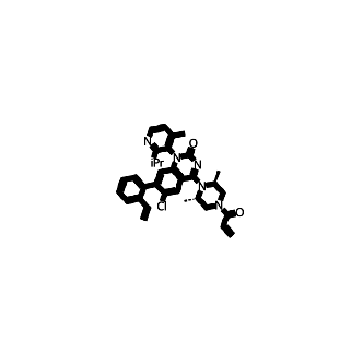 C=CC(=O)N1C[C@H](C)N(c2nc(=O)n(-c3c(C)ccnc3C(C)C)c3cc(-c4ccccc4C=C)c(Cl)cc23)[C@@H](C)C1